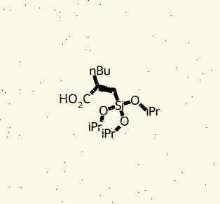 CCCCC(=C[Si](OC(C)C)(OC(C)C)OC(C)C)C(=O)O